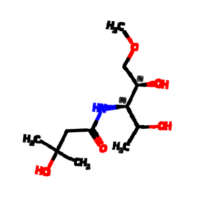 COC[C@@H](O)[C@H](NC(=O)CC(C)(C)O)C(C)O